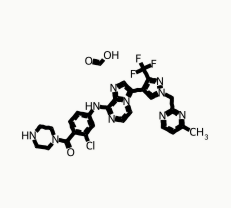 Cc1ccnc(Cn2cc(-c3cnc4c(Nc5ccc(C(=O)N6CCNCC6)c(Cl)c5)nccn34)c(C(F)(F)F)n2)n1.O=CO